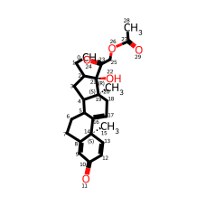 CCC1CC2C3CCC4=CC(=O)C=C[C@]4(C)C3=CC[C@]2(C)[C@@]1(O)C(=O)COC(C)=O